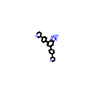 c1cncc(-c2ccc(-c3cc(-c4ccc(-c5cccnc5)cc4)c4n[nH]nc4c3)cc2)c1